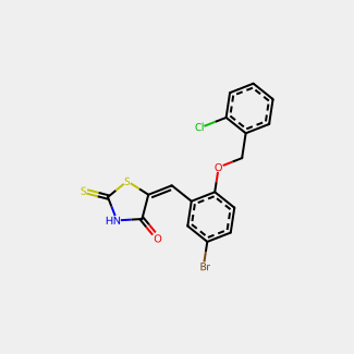 O=C1NC(=S)SC1=Cc1cc(Br)ccc1OCc1ccccc1Cl